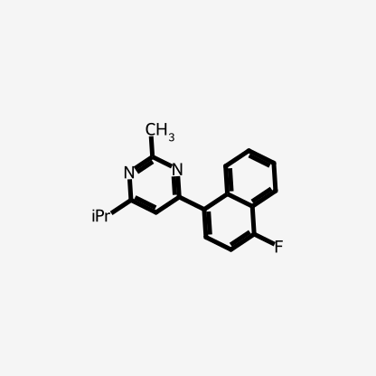 Cc1nc(-c2ccc(F)c3ccccc23)cc(C(C)C)n1